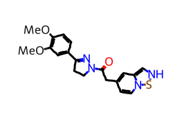 COc1ccc(C2=NN(C(=O)CC3=CC4=CNSN4C=C3)CC2)cc1OC